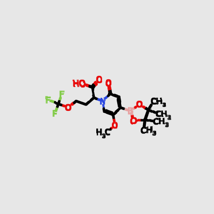 COc1cn(C(CCOC(F)(F)F)C(=O)O)c(=O)cc1B1OC(C)(C)C(C)(C)O1